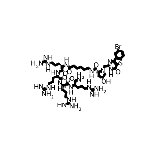 N=C(N)NCCCC(NC(=O)[C@@H](CCCNC(=N)N)NC(=O)C(CCCNC(=N)N)NC(=O)[C@@H](CCCNC(=N)N)NC(=O)CCCCCNC(=O)[C@H]1C[C@H](O)CN1Cc1nc2c(sc3ccc(Br)cc32)c(=O)[nH]1)C(N)=O